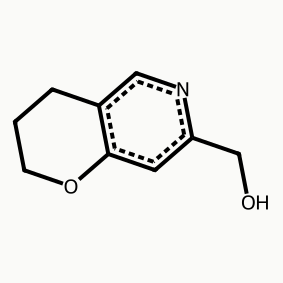 OCc1cc2c(cn1)CCCO2